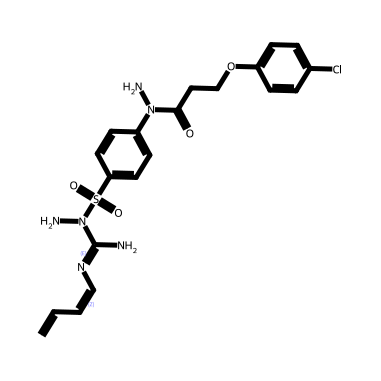 C=C/C=C\N=C(/N)N(N)S(=O)(=O)c1ccc(N(N)C(=O)CCOc2ccc(Cl)cc2)cc1